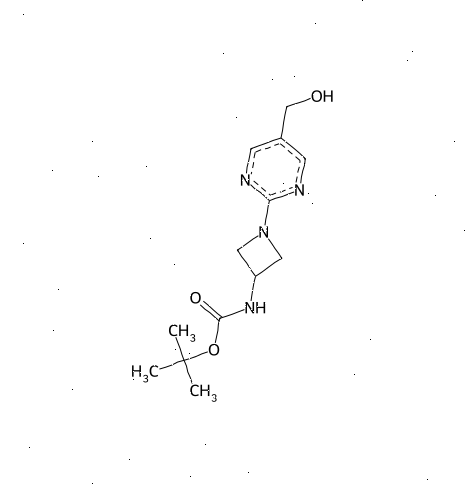 CC(C)(C)OC(=O)NC1CN(c2ncc(CO)cn2)C1